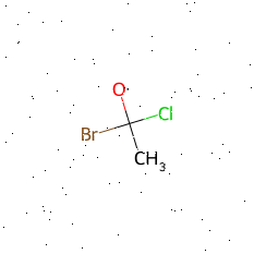 CC([O])(Cl)Br